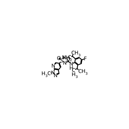 CC(C)c1cc(F)cc(C(C)C)c1NC(=O)N=S(N)(=O)c1cnc2c(cnn2C)c1